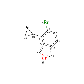 Brc1ccc2cocc2c1C1CC1